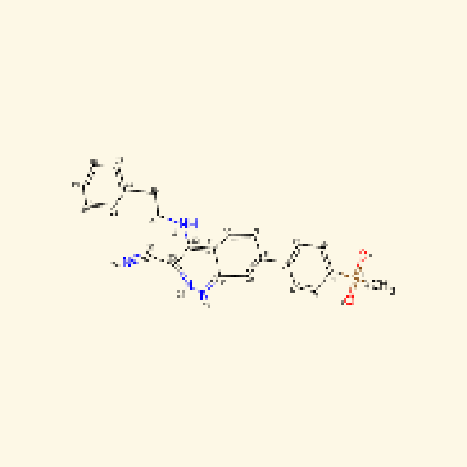 CS(=O)(=O)c1ccc(-c2ccc3c(NCCc4ccccc4)c(C#N)nnc3c2)cc1